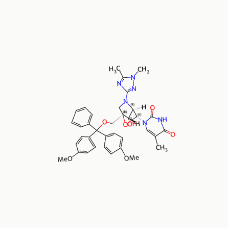 COc1ccc(C(OC[C@@]23CN(c4nc(C)n(C)n4)[C@@H]([C@H](n4cc(C)c(=O)[nH]c4=O)O2)[C@@H]3O)(c2ccccc2)c2ccc(OC)cc2)cc1